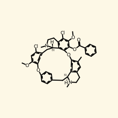 COc1cc(Cl)c2cc1Oc1ccc(cc1)C[C@H]1c3cc(c(C)cc3CCN1C)Oc1c(OC(=O)c3ccccc3)c(OC)c(Cl)c3c1[C@H](C2)N(C)CC3